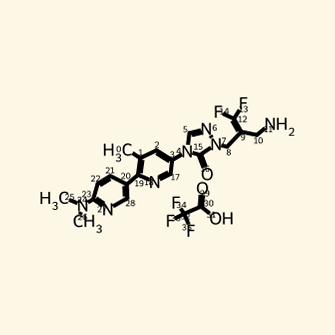 Cc1cc(-n2cnn(CC(CN)=C(F)F)c2=O)cnc1-c1ccc(N(C)C)nc1.O=C(O)C(F)(F)F